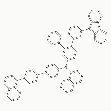 c1ccc(-c2cc(N(c3ccc(-c4ccc(-c5cccc6ccccc56)cc4)cc3)c3cccc4ccccc34)ccc2-c2cccc(-n3c4ccccc4c4ccccc43)c2)cc1